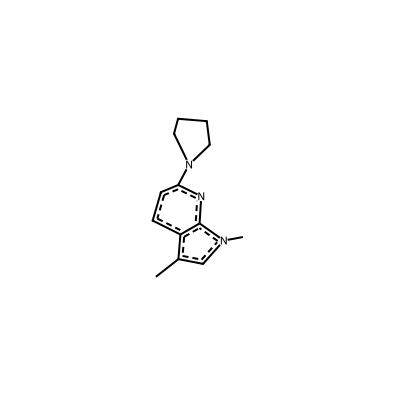 Cc1cn(C)c2nc(N3CCCC3)ccc12